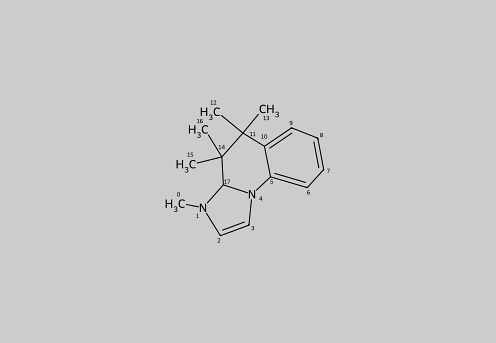 CN1C=CN2c3ccccc3C(C)(C)C(C)(C)C12